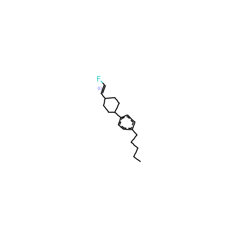 CCCCCc1ccc(C2CCC(/C=C/F)CC2)cc1